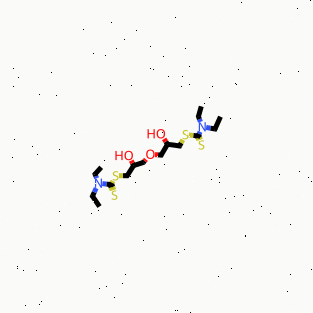 CCN(CC)C(=S)SCC(O)COCC(O)CSC(=S)N(CC)CC